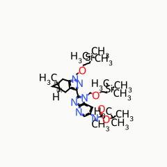 CN(C(=O)OC(C)(C)C)c1cnc2nc(-c3nn(COCC[Si](C)(C)C)c4c3C[C@@H]3C[C@]3(C)C4)n(COCC[Si](C)(C)C)c2c1